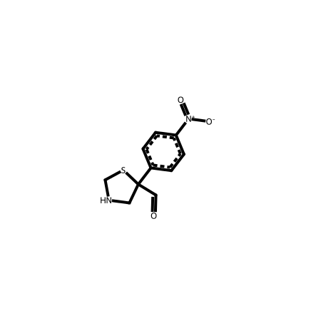 O=CC1(c2ccc([N+](=O)[O-])cc2)CNCS1